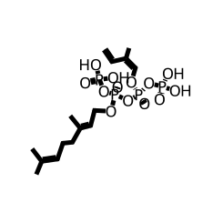 C=CC(C)=COP(=O)(OP(=O)(O)O)OP(=O)(OC/C=C(\C)CCC=C(C)C)OP(=O)(O)O